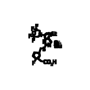 CC(C)(C)[O-].CCn1cc(N2CC(F)(F)OC(F)(F)C2)c2nc(SCc3ccc(F)c(CC(=O)O)c3)ncc21.[K+]